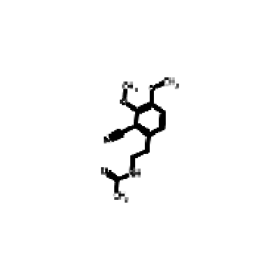 COc1ccc(CCNC(C)=O)c(C#N)c1OC